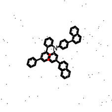 c1ccc(-c2cccc(-c3ccccc3N(c3ccc(-c4cccc5ccccc45)cc3)c3cccc(-c4ccc5ccccc5c4)c3)c2)cc1